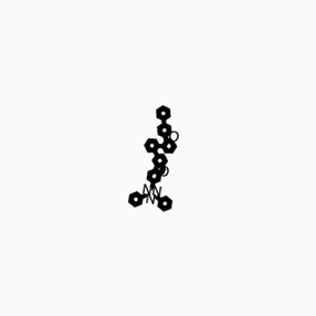 c1ccc(-c2ccc3c(c2)oc2cccc(-c4ccccc4-c4ccc5oc6cc(-c7nc(-c8ccccc8)nc(-c8ccccc8)n7)ccc6c5c4)c23)cc1